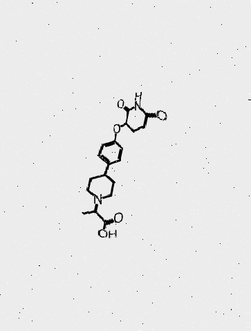 CC(C(=O)O)N1CCC(c2ccc(OC3CCC(=O)NC3=O)cc2)CC1